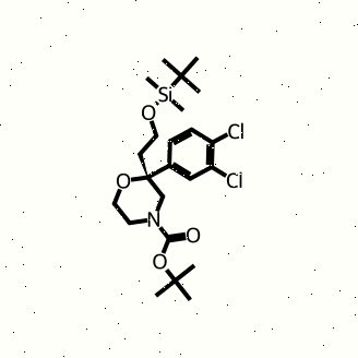 CC(C)(C)OC(=O)N1CCO[C@](CCO[Si](C)(C)C(C)(C)C)(c2ccc(Cl)c(Cl)c2)C1